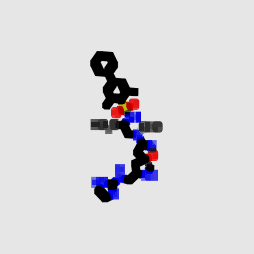 Cc1cc(-c2ccccc2)cc(C)c1S(=O)(=O)NC(CN(C=O)C1=NO[C@]2(CNC(CNc3ncc[nH]3)C2)C1)C(=O)O